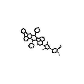 CCc1ccc(-c2cc(C)c(-c3ccc4c5c(-c6ccccc6)c6c(cc7c8ccccc8c8cccc6c87)c(-c6ccccc6)c5c5cccc3c54)c(C)c2)cc1C#N